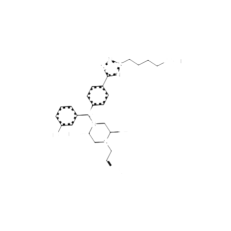 C=CCN1C[C@H](C)N([C@H](c2ccc(-c3nnn(CCCCC(=O)O)n3)cc2)c2cccc(O)c2)CC1C